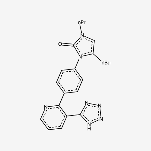 CCCCc1cn(CCC)c(=O)n1-c1ccc(-c2ncccc2-c2nnn[nH]2)cc1